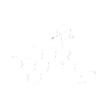 CN(C)CC1(COc2nc(N3C[C@@]4(C)CC[C@H]3CN4)c3cc(Cl)c(-c4cc(O)cc5ccccc45)c(F)c3n2)CC1